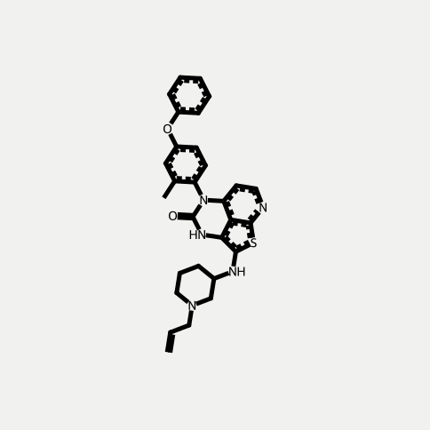 C=CCN1CCCC(Nc2sc3nccc4c3c2NC(=O)N4c2ccc(Oc3ccccc3)cc2C)C1